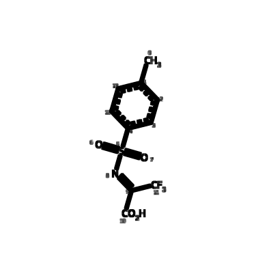 Cc1ccc(S(=O)(=O)N=C(C(=O)O)C(F)(F)F)cc1